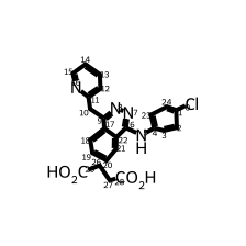 Clc1ccc(Nc2nnc(Cc3ccccn3)c3ccccc23)cc1.O=C(O)CCC(=O)O